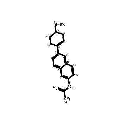 CCCCCCC1CC=C(c2ccc3cc(OC(=O)CCC)ccc3c2)CC1